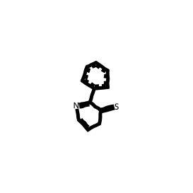 S=C1CC=CN=C1c1ccccc1